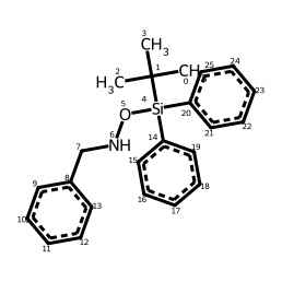 CC(C)(C)[Si](ONCc1c[c]ccc1)(c1ccccc1)c1ccccc1